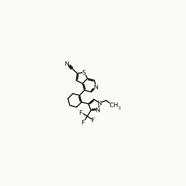 CCn1cc(C2=C(c3cncc4sc(C#N)cc34)CCCC2)c(C(F)(F)F)n1